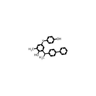 Cc1cc(Sc2ccc(O)cc2)cc(C(C)c2ccc(-c3ccccc3)cc2)c1O